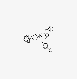 Clc1ccc(C[C@H]2CO[C@@H](CN3CCCC3)CN2C2CCN(c3ncccn3)CC2)cc1